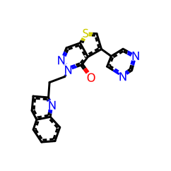 O=c1c2c(-c3cncnc3)csc2cnn1CCc1ccc2ccccc2n1